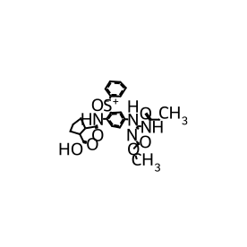 CCC(=O)NC(=NC(=O)OC)Nc1ccc(NC(=O)C2CCCC2C(=O)O)c([S+]([O-])c2ccccc2)c1